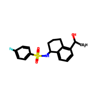 O=C(O)C(O)c1cccc2c1CCCC2NS(=O)(=O)c1ccc(F)cc1